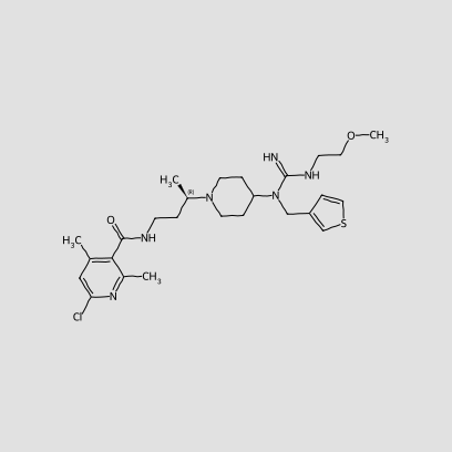 COCCNC(=N)N(Cc1ccsc1)C1CCN([C@H](C)CCNC(=O)c2c(C)cc(Cl)nc2C)CC1